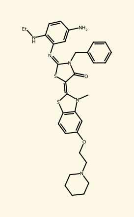 CCNc1ccc(N)cc1N=C1S/C(=C2\Sc3ccc(OCCN4CCCCC4)cc3N2C)C(=O)N1Cc1ccccc1